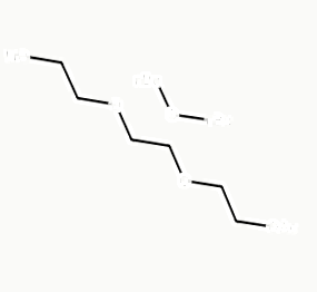 CC(=O)OCCOCCOCCO.CCCCOCCCC